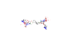 Cc1c(COc2cc(OCc3cccc4c3cnn4C)c(CNC(CCO)C(=O)O)cc2Cl)cccc1-c1cccc(COc2cc(OCc3cccc4c3cnn4C)c(CNC(CCO)C(=O)O)cc2Cl)c1C